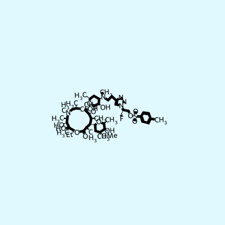 CC[C@H]1OC(=O)[C@H](C)[C@@H](C2C[C@@](C)(OC)[C@@H](O)[C@H](C)O2)[C@H](C)[C@@H](O[C@@H]2O[C@H](C)C[C@H](N(C)CCc3cn([C@@H](CF)COS(=O)(=O)c4ccc(C)cc4)nn3)[C@H]2O)[C@](C)(O)C[C@@H](C)CN(C)[C@H](C)[C@@H](O)[C@]1(C)O